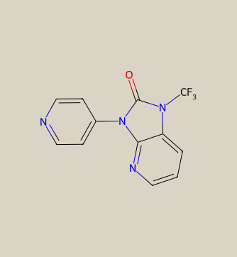 O=c1n(-c2ccncc2)c2ncccc2n1C(F)(F)F